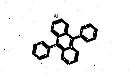 [Al].c1ccc(-c2c3ccccc3c(-c3ccccc3)c3ccccc23)cc1